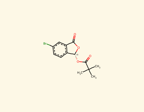 CC(C)(C)C(=O)O[C@H]1OC(=O)c2cc(Br)ccc21